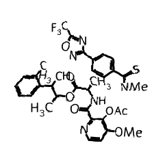 CNC(=S)c1ccc(-c2noc(C(F)(F)F)n2)cc1.COc1ccnc(C(=O)NC(C)C(=O)OC(C)C(C)c2ccccc2C)c1OC(C)=O